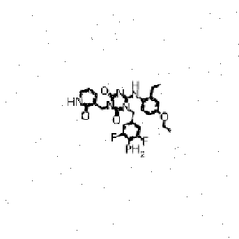 CCOc1ccc(Nc2nc(=O)n(Cc3ccc[nH]c3=O)c(=O)n2Cc2cc(F)c(P)c(F)c2)c(CC)c1